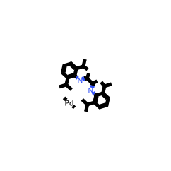 CC(=Nc1c(C(C)C)cccc1C(C)C)C(C)=Nc1c(C(C)C)cccc1C(C)C.[CH3][Pd][CH3]